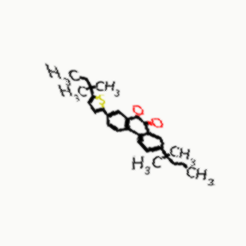 CCCC(C)(C)c1ccc2c(c1)C(=O)C(=O)c1cc(-c3ccc(C(C)(C)CC)s3)ccc1-2